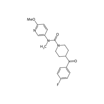 COc1ccc(N(C)C(=O)N2CCC(C(=O)c3ccc(F)cc3)CC2)cn1